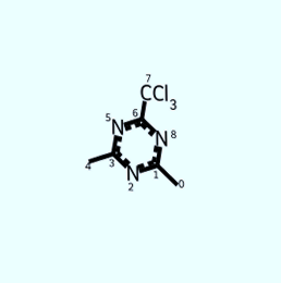 Cc1nc(C)nc(C(Cl)(Cl)Cl)n1